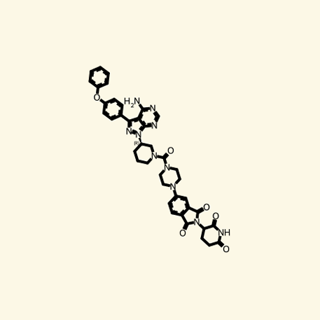 Nc1ncnc2c1c(-c1ccc(Oc3ccccc3)cc1)nn2[C@@H]1CCCN(C(=O)N2CCN(c3ccc4c(c3)C(=O)N(C3CCC(=O)NC3=O)C4=O)CC2)C1